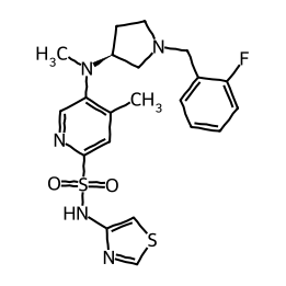 Cc1cc(S(=O)(=O)Nc2cscn2)ncc1N(C)[C@H]1CCN(Cc2ccccc2F)C1